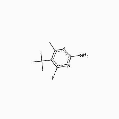 Cc1nc(N)nc(F)c1C(C)(C)C